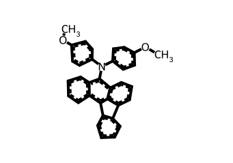 COc1ccc(N(c2ccc(OC)cc2)c2c3ccccc3c3c4c(cccc24)-c2ccccc2-3)cc1